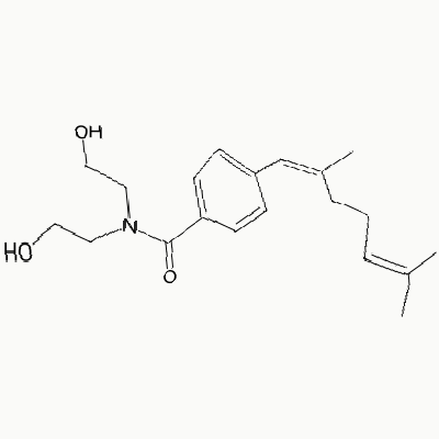 CC(C)=CCCC(C)=Cc1ccc(C(=O)N(CCO)CCO)cc1